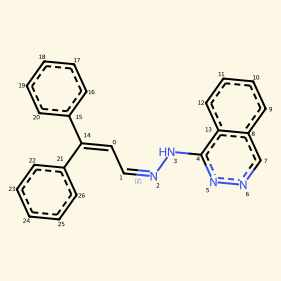 C(/C=N\Nc1nncc2ccccc12)=C(c1ccccc1)c1ccccc1